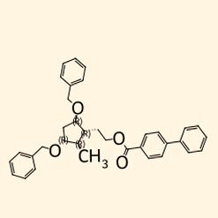 C[C@@H]1[C@@H](CCOC(=O)c2ccc(-c3ccccc3)cc2)[C@H](OCc2ccccc2)C[C@H]1OCc1ccccc1